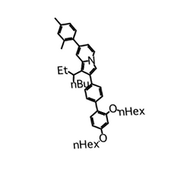 CCCCCCOc1ccc(-c2ccc(-c3cn4ccc(-c5ccc(C)cc5C)cc4c3C(CC)CCCC)cc2)c(OCCCCCC)c1